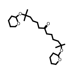 CC(C)(CCCCC(=O)CCCCC(C)(C)OC1CCCCO1)OC1CCCCO1